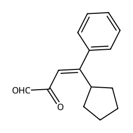 O=CC(=O)C=C(c1ccccc1)C1CCCC1